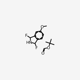 CC(C)(C)OC=O.COc1ccc2c(c1)C(F)NC2F